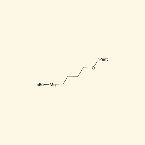 CCCCCOCCC[CH2][Mg][CH2]CCC